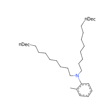 CCCCCCCCCCCCCCCCCCN(CCCCCCCCCCCCCCCCCC)c1ccccc1C